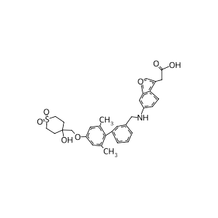 Cc1cc(OCC2(O)CCS(=O)(=O)CC2)cc(C)c1-c1cccc(CNc2ccc3c(CC(=O)O)coc3c2)c1